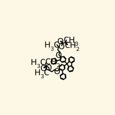 C=C(C)C(=O)OC(C)CCOc1ccc(C2(c3ccc(OCCC(C)OC(=O)C(=C)C)c(-c4ccccc4)c3)c3ccccc3-c3ccccc32)cc1-c1ccccc1